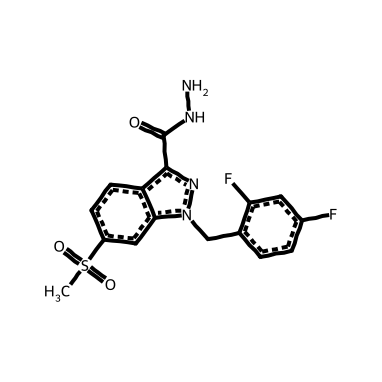 CS(=O)(=O)c1ccc2c(C(=O)NN)nn(Cc3ccc(F)cc3F)c2c1